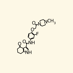 CN1CCN(C(=O)COc2ccc(NC(=O)c3c[nH]c4c3C(=O)CCC4)cc2F)CC1